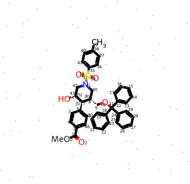 COC(=O)c1ccc([C@@H]2[C@@H](COC(c3ccccc3)(c3ccccc3)c3ccccc3)CN(S(=O)(=O)c3ccc(C)cc3)C[C@H]2O)cc1